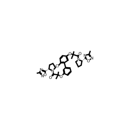 Cc1noc([C@@H]2CCCN2C(=O)C(C)(C)Oc2cccc(-c3cc(OC(C)(C)C(=O)N4CCC[C@H]4c4nc(C)no4)ccc3Cl)c2)n1